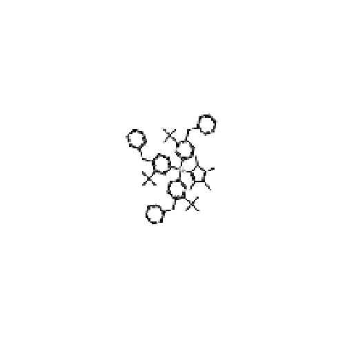 CC1=C(C)C(C)C([Si](c2ccc(Cc3ccccc3)c(C(C)(C)C)c2)(c2ccc(Cc3ccccc3)c(C(C)(C)C)c2)c2ccc(Cc3ccccc3)c(C(C)(C)C)c2)=C1C